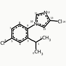 CC(C)c1cc(Cl)ccc1-n1cnc(Cl)c1